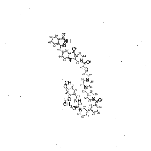 CCOc1cc(OC)ccc1CNCC(=O)N1CCCC(c2cccc(C(=O)N3CCC(CN4CCN(CCOCC(=O)N5CCN(C(=O)c6cc(Cc7n[nH]c(=O)c8ccccc78)ccc6F)CC5)CC4)CC3)c2)C1